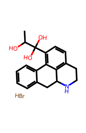 Br.CC(O)C(O)(O)c1ccc2c3c1-c1ccccc1CC3NCC2